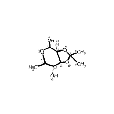 CC1OC(O)[C@H]2OC(C)(C)OC2[C@@H]1O